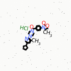 Cc1cc(C2CCCC2)cnc1N1CCN(C(=O)c2ccc(N3C(=O)OCC3C)cc2)CC1.Cl